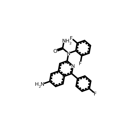 NC(=O)N(c1cc2cc(N)ccc2c(-c2ccc(F)cc2)n1)c1c(F)cccc1F